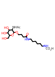 CC(=O)NC1C(OCCCC(=O)NCCCCCCNC(=O)O)OC(CO)C(O)C1O